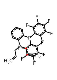 C=CCP(CC=C)c1ccccc1P(c1c(F)c(F)c(F)c(F)c1F)c1c(F)c(F)c(F)c(F)c1F